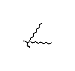 [Li][CH](C=C)N(CCCCCCCC)CCCCCCCC